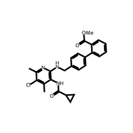 COC(=O)c1ccccc1-c1ccc(CNc2nc(C)c(Cl)c(C)c2NC(=O)C2CC2)cc1